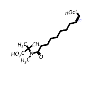 CCCCCCCC/C=C\CCCCCCCC(=O)N(C)C(C)(C)C(=O)O